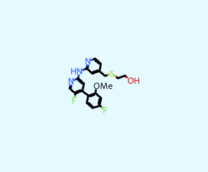 COc1cc(F)ccc1-c1cc(Nc2cc(CSCCO)ccn2)ncc1F